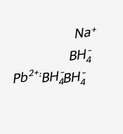 [BH4-].[BH4-].[BH4-].[Na+].[Pb+2]